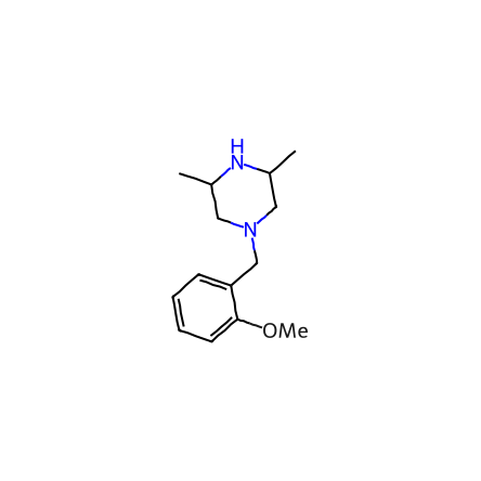 COc1ccccc1CN1CC(C)NC(C)C1